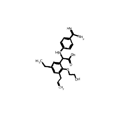 C=CCc1cc(CC)cc(C(Nc2ccc(C(=N)N)cc2)C(=O)O)c1OCCO